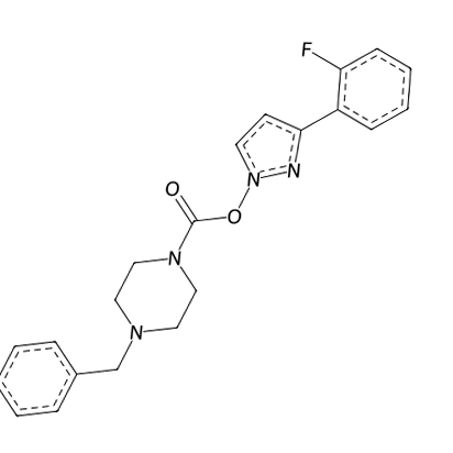 O=C(On1ccc(-c2ccccc2F)n1)N1CCN(Cc2ccccc2)CC1